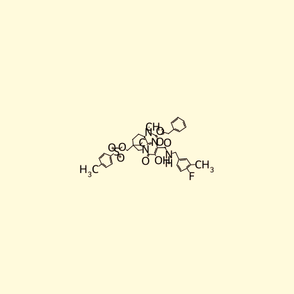 Cc1ccc(S(=O)(=O)OCC23CCC(N(C)C(=O)OCc4ccccc4)(CC2)c2nc(C(=O)NCc4ccc(F)c(C)c4)c(O)c(=O)n2C3)cc1